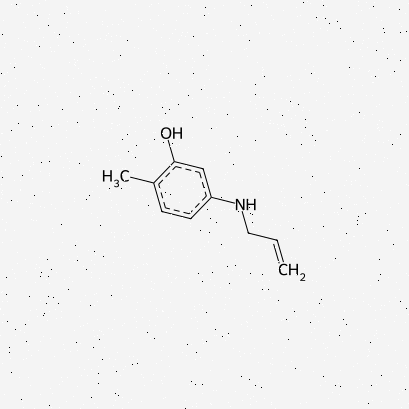 C=CCNc1ccc(C)c(O)c1